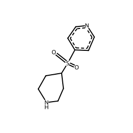 O=S(=O)(c1ccncc1)C1CCNCC1